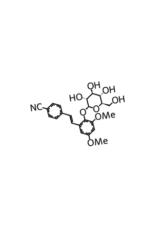 COc1cc(/C=C/c2ccc(C#N)cc2)c(O[C@@H]2O[C@H](CO)[C@@H](O)[C@H](O)[C@H]2O)c(OC)c1